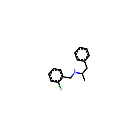 CC(Cc1ccccc1)NCc1ccccc1Cl